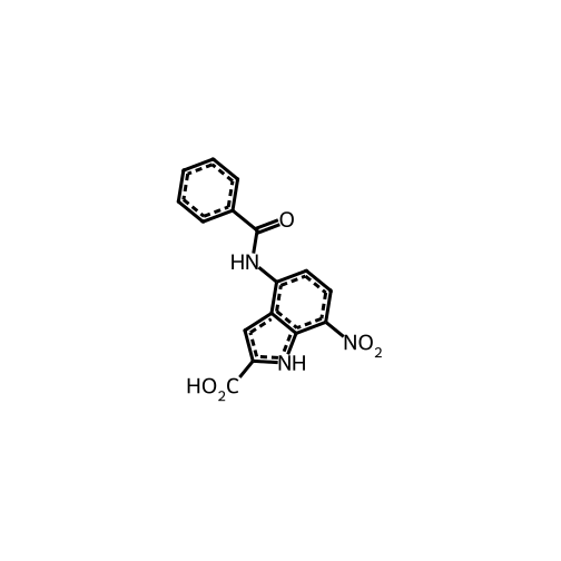 O=C(Nc1ccc([N+](=O)[O-])c2[nH]c(C(=O)O)cc12)c1ccccc1